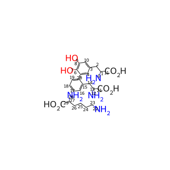 NC(Cc1ccc(O)c(O)c1)C(=O)O.NC(Cc1ccccc1)C(=O)O.NCCCCC(N)C(=O)O